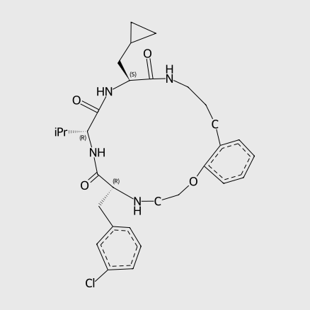 CC(C)[C@H]1NC(=O)[C@@H](Cc2cccc(Cl)c2)NCCOc2ccccc2CCCNC(=O)[C@H](CC2CC2)NC1=O